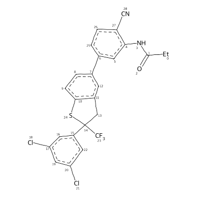 CCC(=O)Nc1cc(-c2ccc3c(c2)CC(c2cc(Cl)cc(Cl)c2)(C(F)(F)F)S3)ccc1C#N